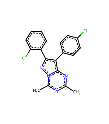 Cc1nc(C)n2nc(-c3ccccc3Cl)c(-c3ccc(Cl)cc3)c2n1